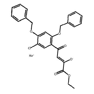 CCOC(=O)C([O-])=CC(=O)c1cc(Cl)c(OCc2ccccc2)cc1OCc1ccccc1.[Na+]